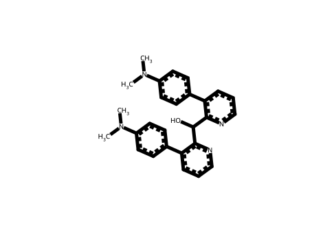 CN(C)c1ccc(-c2cccnc2C(O)c2ncccc2-c2ccc(N(C)C)cc2)cc1